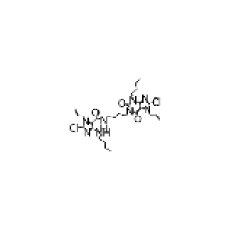 C=CCn1c(Cl)nc(NCCCC)c1C(=O)NCCCCn1c(=O)c2c(nc(Cl)n2CC=C)n(CCCC)c1=O